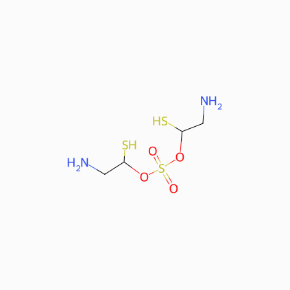 NCC(S)OS(=O)(=O)OC(S)CN